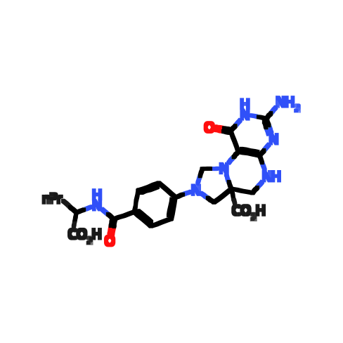 CCCC(NC(=O)c1ccc(N2CN3c4c(nc(N)[nH]c4=O)NCC3(C(=O)O)C2)cc1)C(=O)O